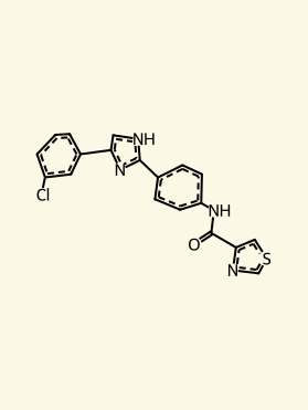 O=C(Nc1ccc(-c2nc(-c3cccc(Cl)c3)c[nH]2)cc1)c1cscn1